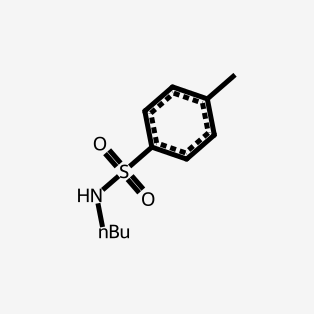 CCCCNS(=O)(=O)c1ccc(C)cc1